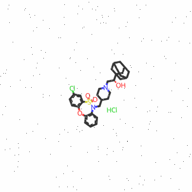 Cl.O=S1(=O)c2cc(Cl)ccc2Oc2ccccc2N1CC1CCN(C[C@H](O)C23CC4CC(CC(C4)C2)C3)CC1